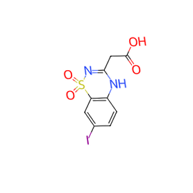 O=C(O)CC1=NS(=O)(=O)c2cc(I)ccc2N1